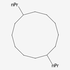 CCCC1CCCCCC(CCC)CCCCC1